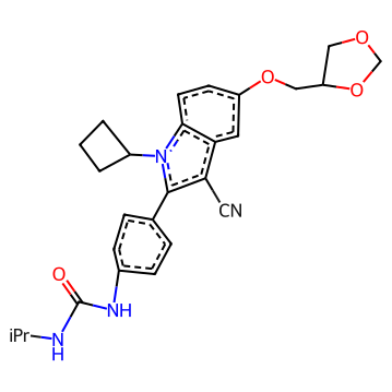 CC(C)NC(=O)Nc1ccc(-c2c(C#N)c3cc(OCC4COCO4)ccc3n2C2CCC2)cc1